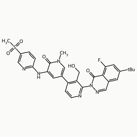 Cn1cc(-c2ccnc(-n3ncc4cc(C(C)(C)C)cc(F)c4c3=O)c2CO)cc(Nc2ccc(S(C)(=O)=O)cn2)c1=O